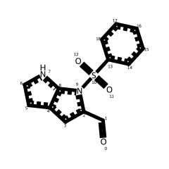 O=Cc1cc2cc[nH]c2n1S(=O)(=O)c1ccccc1